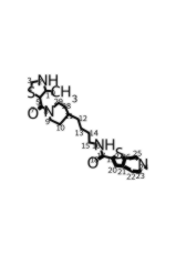 CC1NCSC1C(=O)N1CCC(CCCCNC(=O)c2cc3ccncc3s2)CC1